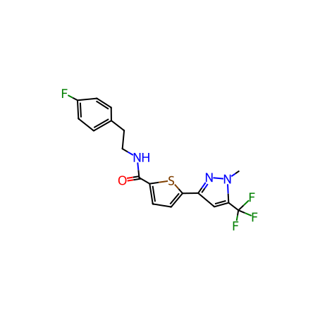 Cn1nc(-c2ccc(C(=O)NCCc3ccc(F)cc3)s2)cc1C(F)(F)F